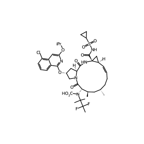 CC(C)Oc1cc2c(Cl)cccc2c(O[C@@H]2C[C@H]3C(=O)N[C@]4(C(=O)NS(=O)(=O)C5CC5)C[C@H]4/C=C\CC[C@H](C)C[C@@H](C)[C@H](N(C(=O)O)C(C)(C)C(C)(F)F)C(=O)N3C2)n1